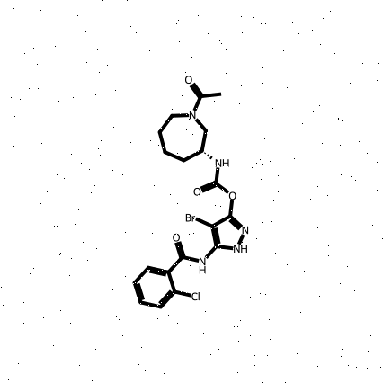 CC(=O)N1CCCC[C@@H](NC(=O)Oc2n[nH]c(NC(=O)c3ccccc3Cl)c2Br)C1